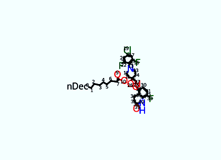 CCCCCCCCCCCCCCCCCC(=O)OC1CN(c2c(F)cc(Cl)cc2F)CCC1(O)COc1ccc(F)c2c1CCC(=O)N2